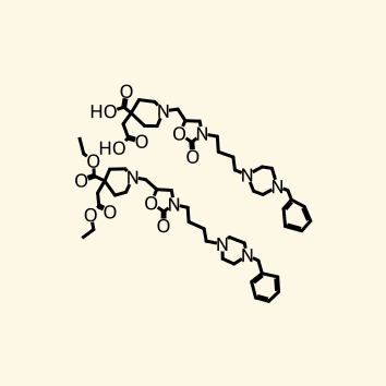 CCOC(=O)CC1(C(=O)OCC)CCN(CC2CN(CCCCN3CCN(Cc4ccccc4)CC3)C(=O)O2)CC1.O=C(O)CC1(C(=O)O)CCN(CC2CN(CCCCN3CCN(Cc4ccccc4)CC3)C(=O)O2)CC1